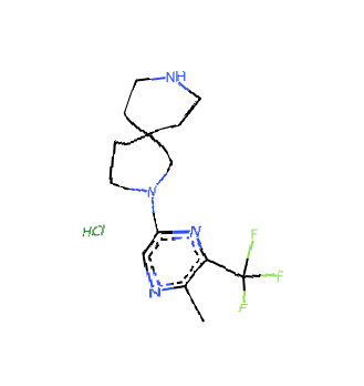 Cc1ncc(N2CCC3(CCNCC3)C2)nc1C(F)(F)F.Cl